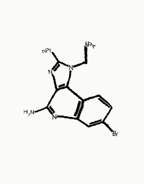 CCCc1nc2c(N)nc3cc(Br)ccc3c2n1CC(C)C